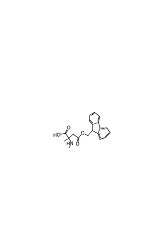 CNC(C)(CC(=O)OCC1c2ccccc2-c2ccccc21)C(=O)O